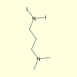 CN(C)CCCN(I)I